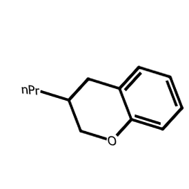 C[CH]CC1COc2ccccc2C1